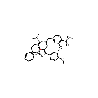 COC(=O)c1ccc(CN(Cc2c(-c3ccc(OC)cc3)nc(-c3ccccc3)n2CCN(C)C)CC2CCCCC2)cc1OC